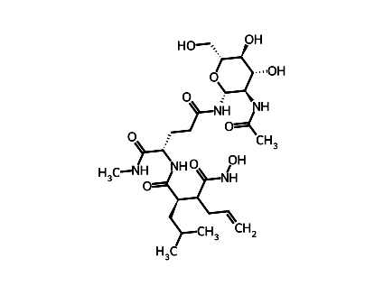 C=CCC(C(=O)NO)[C@@H](CC(C)C)C(=O)N[C@@H](CCC(=O)N[C@@H]1O[C@H](CO)[C@@H](O)[C@H](O)[C@H]1NC(C)=O)C(=O)NC